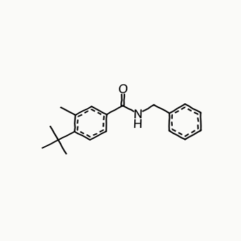 Cc1cc(C(=O)NCc2ccccc2)ccc1C(C)(C)C